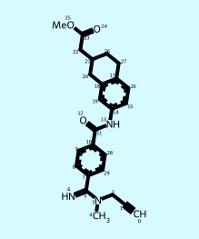 C#CCN(C)C(=N)c1ccc(C(=O)Nc2ccc3c(c2)CC(CC(=O)OC)CC3)cc1